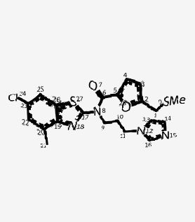 CSCc1ccc(C(=O)N(CCCn2ccnc2)c2nc3c(C)cc(Cl)cc3s2)o1